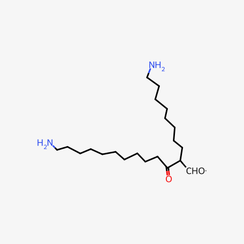 NCCCCCCCCCCC(=O)C([C]=O)CCCCCCCCN